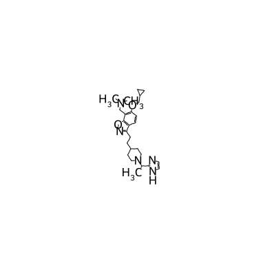 CC(c1ncc[nH]1)N1CCC(CCc2noc3c(CN(C)C)c(OCC4CC4)ccc23)CC1